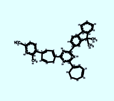 Cc1ccc(C2=CC=C(c3nc(C4=CC=CCCC4)nc(-c4ccc5c(c4)C(C)(C)c4ccccc4-5)n3)CC=C2)c(C)n1